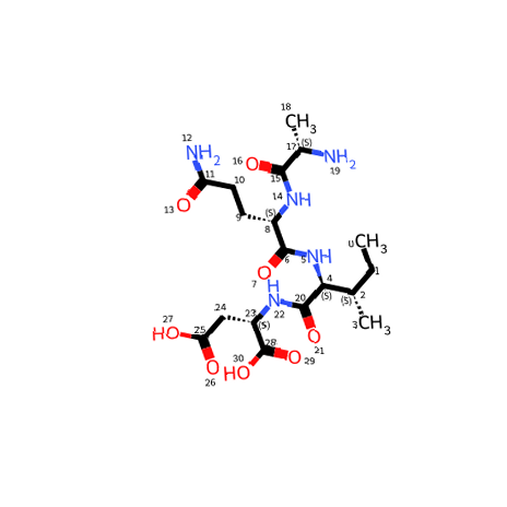 CC[C@H](C)[C@H](NC(=O)[C@H](CCC(N)=O)NC(=O)[C@H](C)N)C(=O)N[C@@H](CC(=O)O)C(=O)O